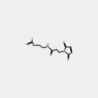 O=C(I)NCCNC(=O)CCN1C(=O)C=CC1=O